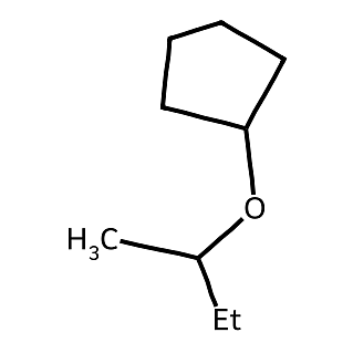 [CH2]CC(C)OC1CCCC1